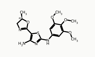 COc1cc(Nc2nc(N)c(C3=NC[C@@H](C)O3)s2)cc(OC)c1OC